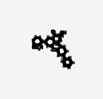 CN1CC([C@@H]2CCCN(C(=O)O)C2)C[C@H](C(=O)NO)[C@H]1C(=O)N1CCN(c2ccccc2)CC1